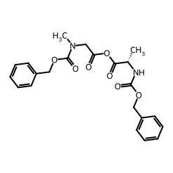 C[C@H](NC(=O)OCc1ccccc1)C(=O)OC(=O)CN(C)C(=O)OCc1ccccc1